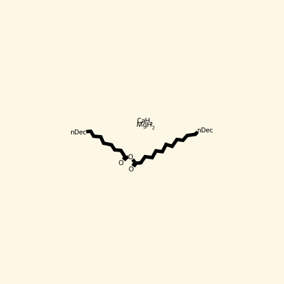 CCCCCCCCCCCCCCCCCCCCCC(=O)OC(=O)CCCCCCCCCCCCCCCCC.[CaH2].[MgH2]